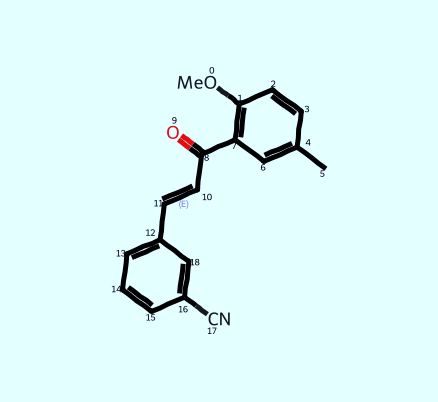 COc1ccc(C)cc1C(=O)/C=C/c1cccc(C#N)c1